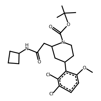 COc1ccc(Cl)c(Cl)c1C1CCN(C(=O)OC(C)(C)C)C(CC(=O)NC2CCC2)C1